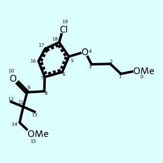 COCCCOc1cc(CC(=O)C(C)(C)COC)ccc1Cl